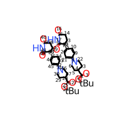 CC(C)(C)OC(=O)C1CCN(c2ccc([C@H]3CCC(=O)NC3=O)cc2)CC1.CC(C)(C)OC(=O)C1CCN(c2ccc([C@H]3CCC(=O)NC3=O)cc2)CC1